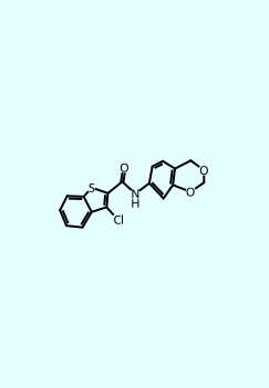 O=C(Nc1ccc2c(c1)OCOC2)c1sc2ccccc2c1Cl